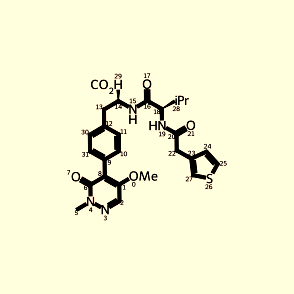 COc1cnn(C)c(=O)c1-c1ccc(C[C@H](NC(=O)[C@H](NC(=O)Cc2ccsc2)C(C)C)C(=O)O)cc1